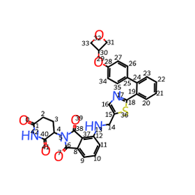 O=C1CCC(N2C(=O)c3cccc(NCc4cnc(-c5ccccc5-c5ccc(OC6COC6)cc5)s4)c3C2=O)C(=O)N1